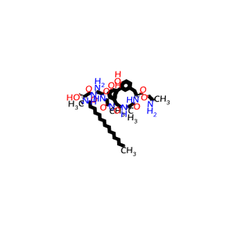 CCCCCCCCCCCCCCCC(=O)N(C)[C@H](CO)C(=O)N[C@H](N)C(=O)NCC(=O)N(C)[C@@H]1C(=O)N[C@@H](C)C(=O)N[C@H](C(=O)OC[C@H](C)N)Cc2ccc(O)c(c2)-c2cc1ccc2O